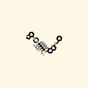 BC(B)(Oc1ccc2ccc(OCc3ccccc3)nc2c1)C(B)(B)C(B)(B)C(B)(B)N1CCN(c2cccc3sccc23)CC1